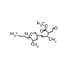 CCCCCC(C)CC(/C=C/C(C)C(CC=O)C(=O)OC)CC